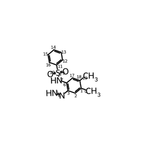 Cc1cc(N=N)c(NS(=O)(=O)c2ccccc2)cc1C